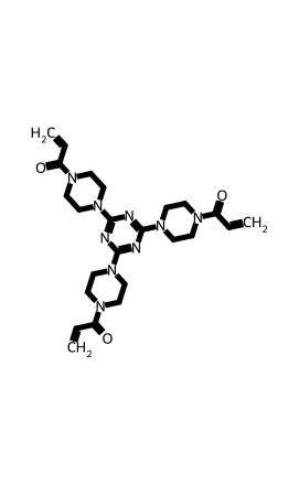 C=CC(=O)N1CCN(c2nc(N3CCN(C(=O)C=C)CC3)nc(N3CCN(C(=O)C=C)CC3)n2)CC1